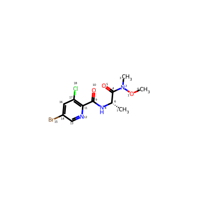 CON(C)C(=O)[C@H](C)NC(=O)c1ncc(Br)cc1Cl